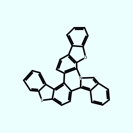 c1ccc2c(c1)cn1c2c2ccc3sc4ccccc4c3c2c2ccc3c4ccccc4oc3c21